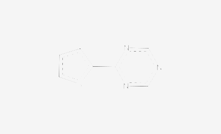 c1csc(-c2ncncn2)c1